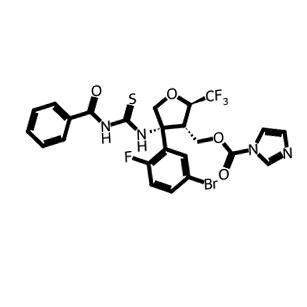 O=C(NC(=S)N[C@]1(c2cc(Br)ccc2F)CO[C@@H](C(F)(F)F)[C@@H]1COC(=O)n1ccnc1)c1ccccc1